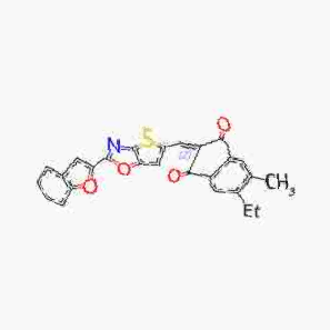 CCc1cc2c(cc1C)C(=O)/C(=C/c1cc3oc(-c4cc5ccccc5o4)nc3s1)C2=O